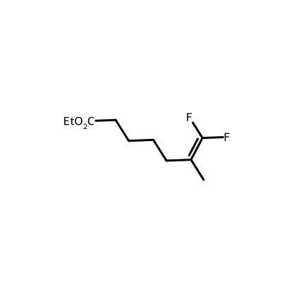 CCOC(=O)CCCCC(C)=C(F)F